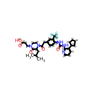 CC(C)CC1C(=O)N(CCC(=O)O)CCN1C(=O)Cc1ccc(NC(=O)Nc2ncccc2C2CCCC2)c(C(F)(F)F)c1